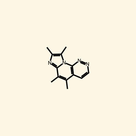 Cc1nc2c(C)c(C)c3ccnnc3n2c1C